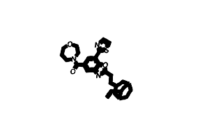 C=CC1CC2CCC1CC(CCc1nc3cc(C(=O)N4CCCOCC4)cc(-c4nccs4)c3o1)C2